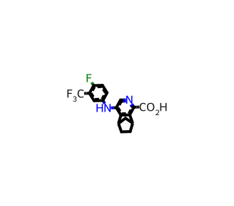 O=C(O)c1ncc(Nc2ccc(F)c(C(F)(F)F)c2)c2c1C1CCC2C1